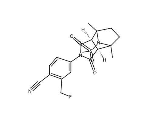 CC12CCC(C)([C@H]3C(=O)N(c4ccc(C#N)c(CF)c4)C(=O)[C@H]31)N2S(C)(=O)=O